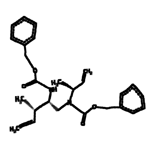 C=C[C@H](C)[C@@H](CN(C(=O)OCc1ccccc1)[C@@H](C)C=C)NC(=O)OCc1ccccc1